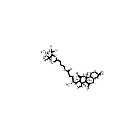 C[C@H](CCC(=O)OCCCC(=O)OC(C(F)(F)F)C(F)(F)S(=O)(=O)O)[C@H]1CC[C@H]2[C@@H]3C(=O)CC4CC(=O)CC[C@]4(C)[C@H]3CC(=O)[C@]12C